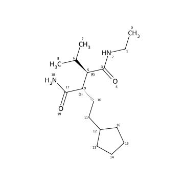 CCNC(=O)[C@H](C(C)C)[C@H](CCC1CCCC1)C(N)=O